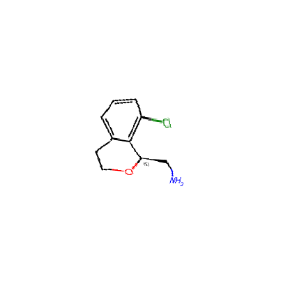 NC[C@H]1OCCc2cccc(Cl)c21